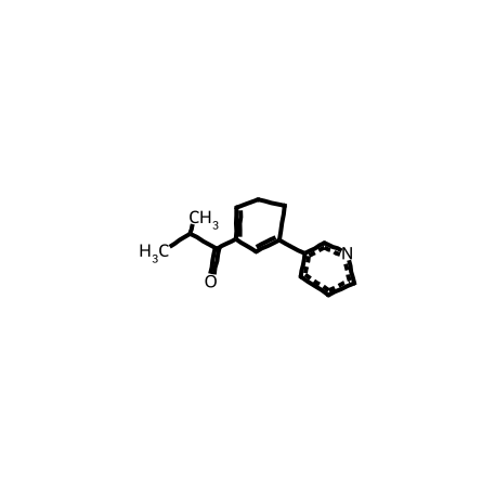 CC(C)C(=O)C1=CCCC(c2cccnc2)=C1